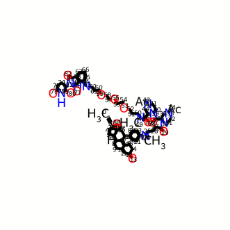 CC#C[C@]12CC[C@H]3[C@@H]4CCC5=CC(=O)CCC5=C4[C@@H](c4ccc(N(C)CCCC(=O)N5CCN(C(C)=O)CC5C(=O)N5CCN(C(C)=O)CC5C(=O)N(C)CCCOCCOCCOCCCNc5cccc6c5C(=O)N(C5CCC(=O)NC5=O)C6=O)cc4)C[C@@]31CO2